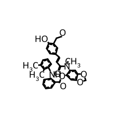 Cc1cccc(Nc2ccccc2C(=O)Oc2cc3c(cc2N(C)C(=O)/C=C/c2ccc(O)c(CC=O)c2)OCO3)c1C